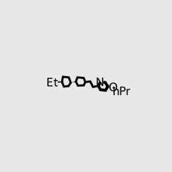 CCCOc1ccc(CCC2CCC([C@H]3CC[C@H](CC)CC3)CC2)nc1